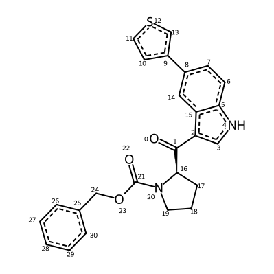 O=C(c1c[nH]c2ccc(-c3ccsc3)cc12)[C@H]1CCCN1C(=O)OCc1ccccc1